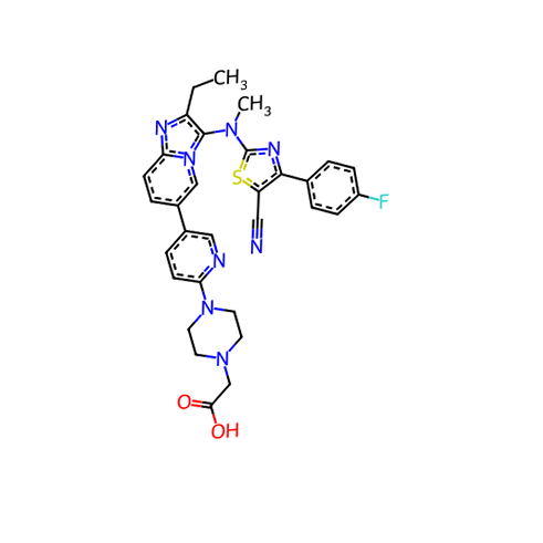 CCc1nc2ccc(-c3ccc(N4CCN(CC(=O)O)CC4)nc3)cn2c1N(C)c1nc(-c2ccc(F)cc2)c(C#N)s1